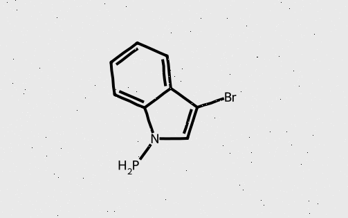 Pn1cc(Br)c2ccccc21